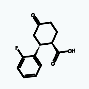 O=C1CC[C@@H](C(=O)O)[C@H](c2ccccc2F)C1